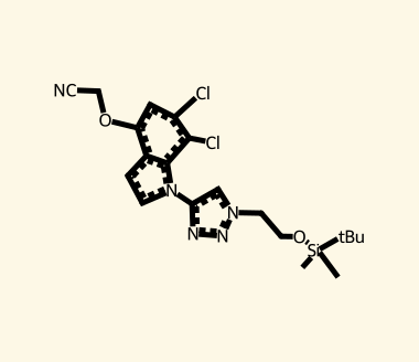 CC(C)(C)[Si](C)(C)OCCn1cc(-n2ccc3c(OCC#N)cc(Cl)c(Cl)c32)nn1